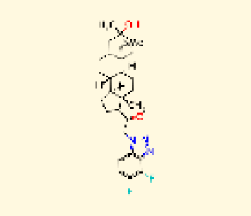 CSC[C@]12CC[C@@](C)(O)CC1CC[C@@H]1[C@@H]2CC[C@]2(C)[C@@H](C(=O)Cn3nnc4c(F)c(F)ccc43)CC[C@@H]12